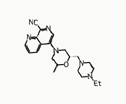 CCN1CCN(C[C@H]2CN(c3cnc(C#N)c4ncccc34)CC(C)O2)CC1